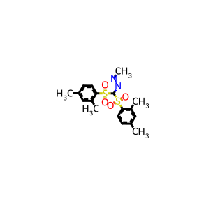 CN=NC(S(=O)(=O)c1ccc(C)cc1C)S(=O)(=O)c1ccc(C)cc1C